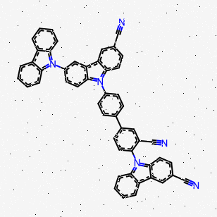 N#Cc1ccc2c(c1)c1cc(-n3c4ccccc4c4ccccc43)ccc1n2-c1ccc(-c2ccc(-n3c4ccccc4c4cc(C#N)ccc43)c(C#N)c2)cc1